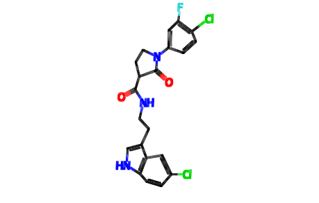 O=C(NCCc1c[nH]c2ccc(Cl)cc12)C1CCN(c2ccc(Cl)c(F)c2)C1=O